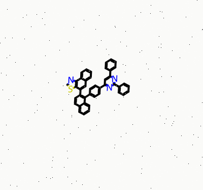 c1ccc(-c2cc(-c3ccc(-c4c(-c5cc6ccccc6c6ncsc56)ccc5ccccc45)cc3)nc(-c3ccccc3)n2)cc1